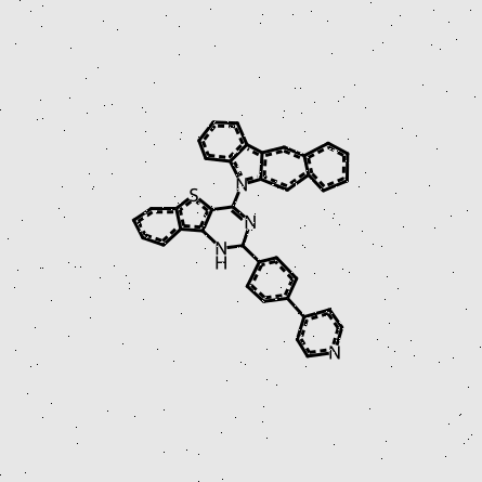 c1ccc2cc3c(cc2c1)c1ccccc1n3C1=NC(c2ccc(-c3ccncc3)cc2)Nc2c1sc1ccccc21